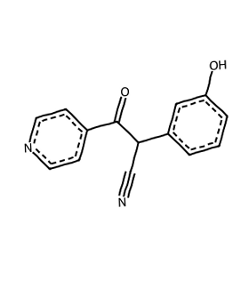 N#CC(C(=O)c1ccncc1)c1cccc(O)c1